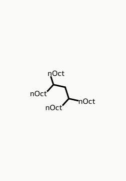 CCCCCCCCC(CCCCCCCC)CC(CCCCCCCC)CCCCCCCC